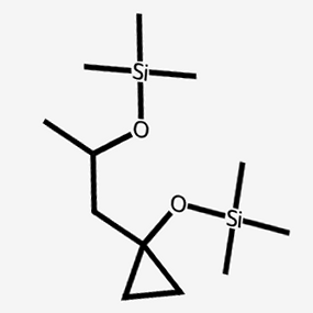 CC(CC1(O[Si](C)(C)C)CC1)O[Si](C)(C)C